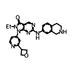 CCn1c(=O)c2cnc(Nc3ccc4c(c3)CNCC4)nc2n1-c1ccnc(C2COC2)c1